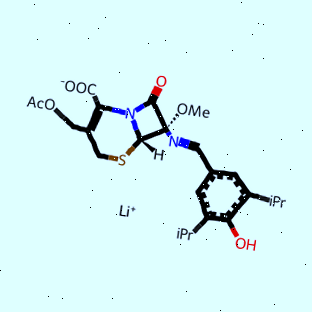 CO[C@@]1(N=Cc2cc(C(C)C)c(O)c(C(C)C)c2)C(=O)N2C(C(=O)[O-])=C(COC(C)=O)CS[C@H]21.[Li+]